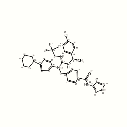 CC(N/C(=N/CC(F)(F)F)N(Cc1ccc(C(=O)Nc2nn[nH]n2)cc1)c1ccc(C2CCCCC2)cc1)c1ccc(Cl)cc1